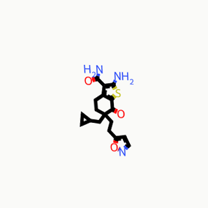 NC(=O)c1c(N)sc2c1CCC(CCc1ccno1)(CC1CC1)C2=O